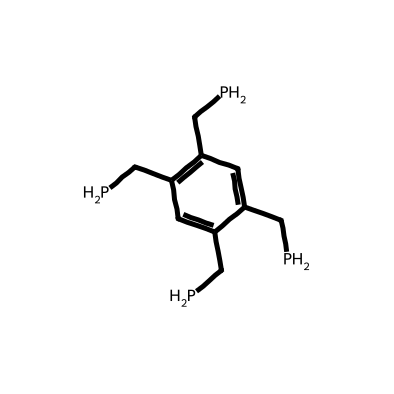 PCc1cc(CP)c(CP)cc1CP